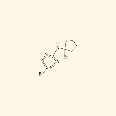 CCC1(Nc2ncc(Br)cn2)CCCC1